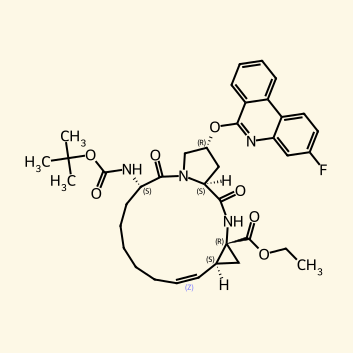 CCOC(=O)[C@@]12C[C@H]1/C=C\CCCCC[C@H](NC(=O)OC(C)(C)C)C(=O)N1C[C@H](Oc3nc4cc(F)ccc4c4ccccc34)C[C@H]1C(=O)N2